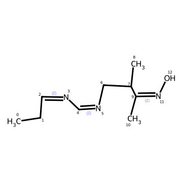 CC/C=N\C=N/CC(C)/C(C)=N\O